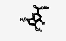 COC(=O)c1cc(Br)c2c(C)cn(C)c2n1